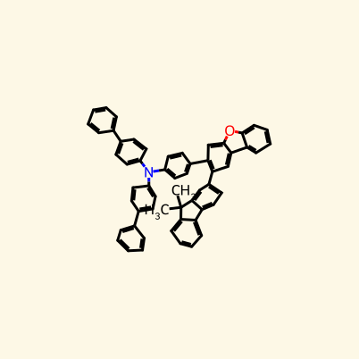 CC1(C)c2ccccc2-c2ccc(-c3cc4c(cc3-c3ccc(N(c5ccc(-c6ccccc6)cc5)c5ccc(-c6ccccc6)cc5)cc3)oc3ccccc34)cc21